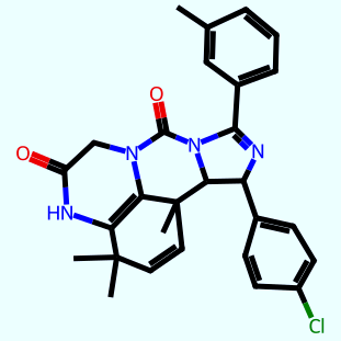 Cc1cccc(C2=NC(c3ccc(Cl)cc3)C3N2C(=O)N2CC(=O)NC4=C2C3(C)C=CC4(C)C)c1